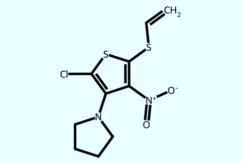 C=CSc1sc(Cl)c(N2CCCC2)c1[N+](=O)[O-]